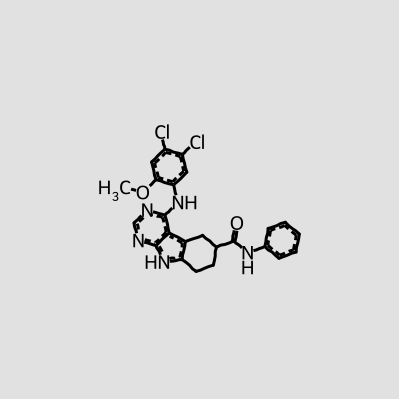 COc1cc(Cl)c(Cl)cc1Nc1ncnc2[nH]c3c(c12)CC(C(=O)Nc1ccccc1)CC3